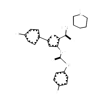 O=C(Nc1ccc(F)cc1)Nc1cc(-c2ccc(Cl)cc2)sc1C(=O)N[C@H]1CCCNC1